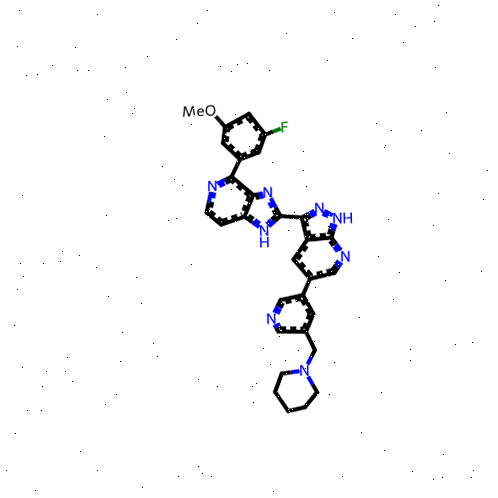 COc1cc(F)cc(-c2nccc3[nH]c(-c4n[nH]c5ncc(-c6cncc(CN7CCCCC7)c6)cc45)nc23)c1